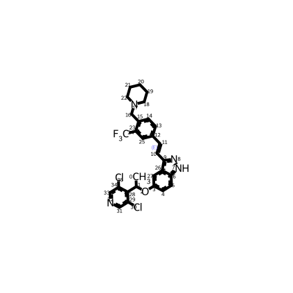 CC(Oc1ccc2[nH]nc(/C=C/c3ccc(CN4CCCCC4)c(C(F)(F)F)c3)c2c1)c1c(Cl)cncc1Cl